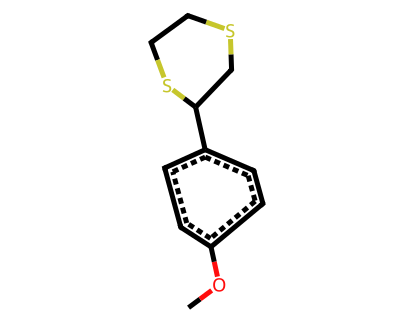 COc1ccc(C2CSCCS2)cc1